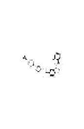 O=C(N[C@H]1CCN(C2CCN(C3CC3)CC2)C1)c1ccc2c(c1)[C@H](NC(=O)c1ccccc1Cl)CC2